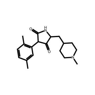 Cc1ccc(C)c(C2C(=O)NC(CC3CCN(C)CC3)C2=O)c1